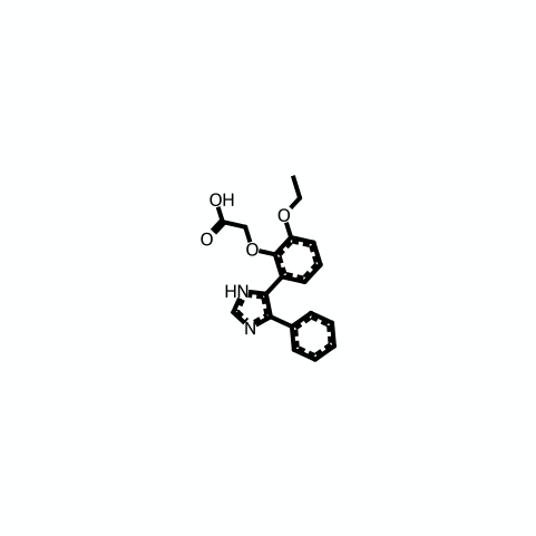 CCOc1cccc(-c2[nH]cnc2-c2ccccc2)c1OCC(=O)O